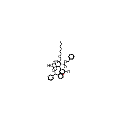 CCCCCCOCC1=C(C(=O)OCc2ccccc2)C(c2cccc(Cl)c2)C(CCC(c2ccccc2)c2ccccc2)(C(=O)O)C(C)N1